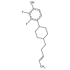 C/C=C/CCC1CCC(c2ccc(O)c(F)c2F)CC1